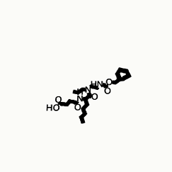 CCCCCC(NC(=O)CCC(=O)O)C(=O)N(CCC)CCNC(=O)OCc1ccccc1